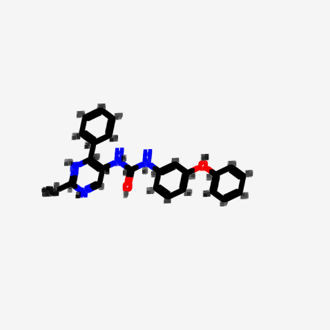 CC(C)(C)c1ncc(NC(=O)Nc2cccc(Oc3ccccc3)c2)c(-c2ccccc2)n1